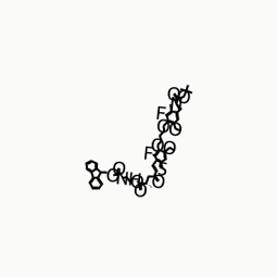 COc1cc2c(c(F)c1OCCCOc1c(OC)cc3sc(C(=O)C[C@H](C)C(=O)OCCNC(=O)OCC4c5ccccc5-c5ccccc54)cc3c1F)CN(C(=O)OC(C)(C)C)C2